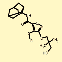 CC(C)Sc1c(OCC(C)(C)CO)noc1C(=O)NC1C2CC3CC(C2)CC1C3